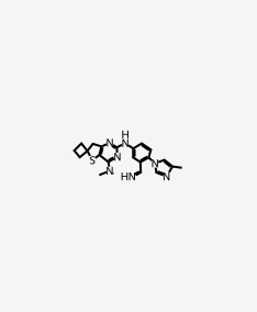 Cc1cn(-c2ccc(Nc3nc4c(c(N(C)C)n3)SC3(CCC3)C4)cc2C=N)cn1